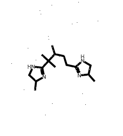 CC1CNC(CCC(C)C(C)(C)C2=NC(C)CN2)=N1